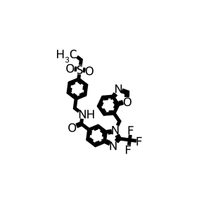 CCS(=O)(=O)c1ccc(CNC(=O)c2ccc3nc(C(F)(F)F)n(Cc4cccc5ncoc45)c3c2)cc1